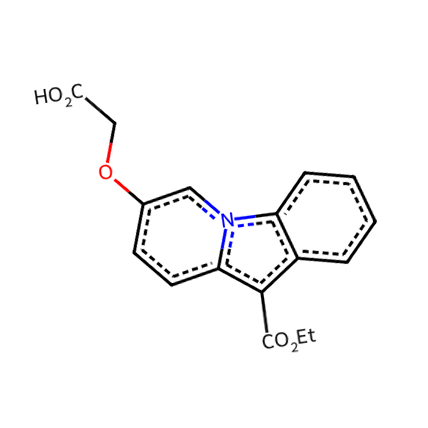 CCOC(=O)c1c2ccccc2n2cc(OCC(=O)O)ccc12